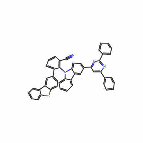 N#Cc1cccc(-c2ccc3sc4ccccc4c3c2)c1-n1c2ccccc2c2cc(-c3cc(-c4ccccc4)nc(-c4ccccc4)n3)ccc21